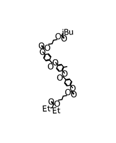 CCC(C)C(=O)OCCCCOC(=O)Oc1ccc(C(=O)Oc2ccc(OC(=O)c3ccc(OC(=O)OCCCCOC(=O)C(CC)CC)cc3)c(C)c2)cc1